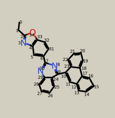 CCc1nc2cc(-c3nc(-c4cc5ccccc5c5ccccc45)c4ccccc4n3)ccc2o1